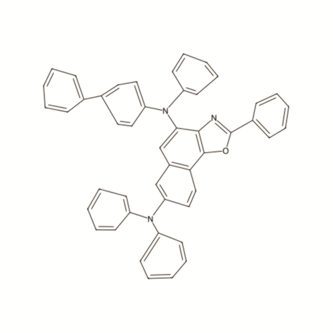 c1ccc(-c2ccc(N(c3ccccc3)c3cc4cc(N(c5ccccc5)c5ccccc5)ccc4c4oc(-c5ccccc5)nc34)cc2)cc1